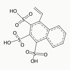 C=Cc1c(S(=O)(=O)O)c(S(=O)(=O)O)c(S(=O)(=O)O)c2ccccc12